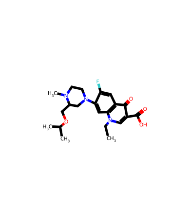 CCn1cc(C(=O)O)c(=O)c2cc(F)c(N3CCN(C)C(COC(C)C)C3)cc21